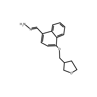 NN=Cc1ccc(OCC2CCOC2)c2ccccc12